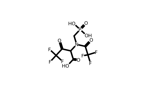 O=C(O)C(C(=O)C(F)(F)F)N(CP(=O)(O)O)C(=O)C(F)(F)F